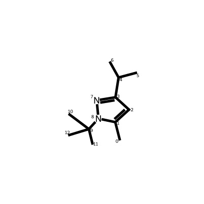 Cc1cc(C(C)C)nn1C(C)(C)C